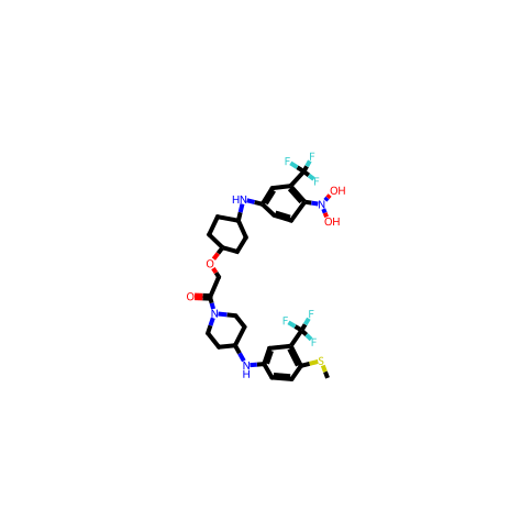 CSc1ccc(NC2CCN(C(=O)COC3CCC(Nc4ccc(N(O)O)c(C(F)(F)F)c4)CC3)CC2)cc1C(F)(F)F